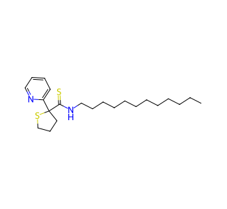 CCCCCCCCCCCCNC(=S)C1(c2ccccn2)CCCS1